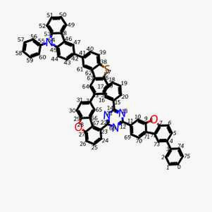 c1ccc(-c2ccc3oc4cc(-c5nc(-c6ccccc6)nc(-c6cccc7oc8ccc(-c9ccc%10sc%11ccc(-c%12ccc%13c(c%12)c%12ccccc%12n%13-c%12ccccc%12)cc%11c%10c9)cc8c67)n5)ccc4c3c2)cc1